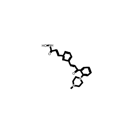 CN1CCN(c2ccccc2C(=O)C=Cc2cccc(C=CC(=O)NO)c2)CC1